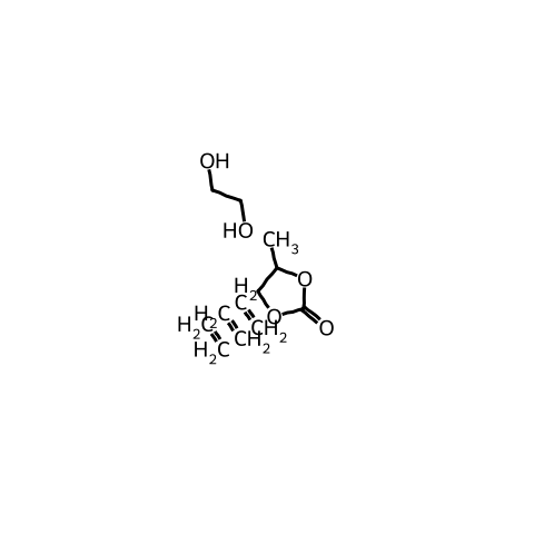 C=C.C=C.C=C.CC1COC(=O)O1.OCCO